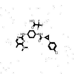 Cc1cnc(N[C@H]2CC[C@H](NC(=O)[C@@H]3C[C@@H]3c3ccc(Cl)cc3)CC2)nc1N(C)C.O=C(O)C(F)(F)F